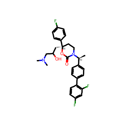 C[C@@H](c1ccc(-c2ccc(F)cc2F)cc1)N1CC[C@](CC(O)CN(C)C)(c2ccc(F)cc2)OC1=O